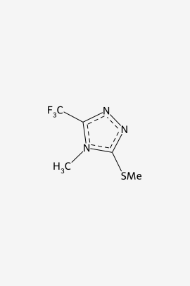 CSc1nnc(C(F)(F)F)n1C